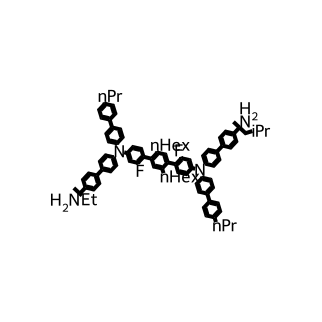 CCCCCCc1cc(-c2ccc(N(c3ccc(-c4ccc(CCC)cc4)cc3)c3ccc(-c4ccc(C(C)(N)CC(C)C)cc4)cc3)cc2F)c(CCCCCC)cc1-c1ccc(N(c2ccc(-c3ccc(CCC)cc3)cc2)c2ccc(-c3ccc(C(C)(N)CC)cc3)cc2)cc1F